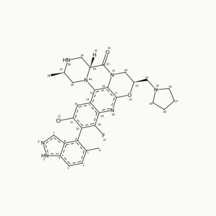 Cc1ccc2[nH]ncc2c1-c1c(Cl)cc2c3c4c(nc2c1F)O[C@H](CN1CCCC1)CN4C(=O)[C@H]1CN[C@H](C)CN31